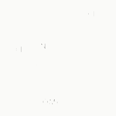 COc1ccc2c(Cl)nc(-c3ccc(C(F)(F)F)cc3)cc2c1